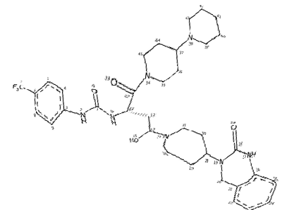 O=C(Nc1ccc(C(F)(F)F)cc1)N[C@@H](CC(O)N1CCC(N2Cc3ccccc3NC2=O)CC1)C(=O)N1CCC(N2CCCCC2)CC1